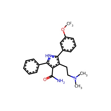 CN(C)CCc1c(-c2cccc(OC(F)(F)F)c2)[nH]c(-c2ccccc2)c1C(N)=O